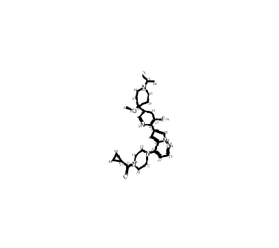 COC1(C2C=NC(c3cc4c(N5CCN(C(=O)C6CC6)CC5)ccnn4c3)=C(F)C2)CCN(C(C)C)CC1